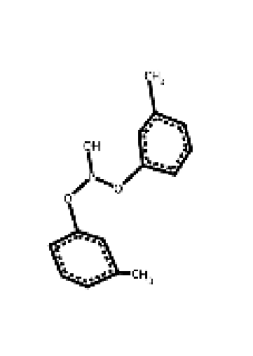 Cc1cccc(OP(O)Oc2cccc(C)c2)c1